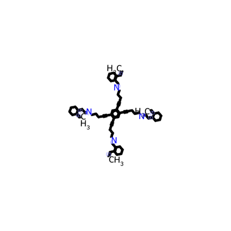 C/C=C\C1=C(/C=N/CCCC#Cc2cc(C#CCCC/N=C/C=C3/CCCC/C3=C/C)c(C#CCCC/N=C/C3=C(/C=C\C)CCCC3)cc2C#CCCC/N=C/C=C2/CCCC/C2=C/C)CCCC1